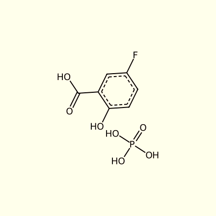 O=C(O)c1cc(F)ccc1O.O=P(O)(O)O